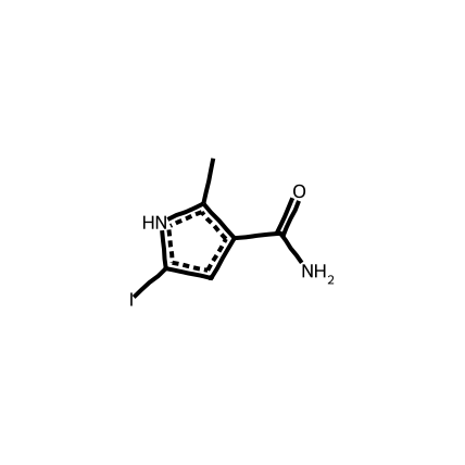 Cc1[nH]c(I)cc1C(N)=O